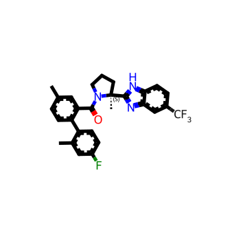 Cc1ccc(-c2ccc(F)cc2C)c(C(=O)N2CCC[C@@]2(C)c2nc3cc(C(F)(F)F)ccc3[nH]2)c1